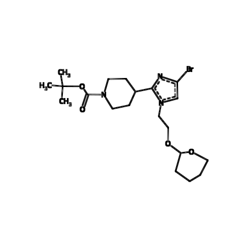 CC(C)(C)OC(=O)N1CCC(c2nc(Br)cn2CCOC2CCCCO2)CC1